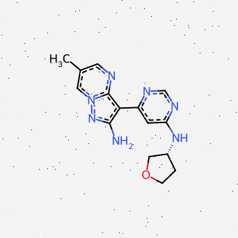 Cc1cnc2c(-c3cc(N[C@@H]4CCOC4)ncn3)c(N)nn2c1